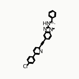 C[C@H](Nc1nc2cc(C#Cc3ccc(-c4ccc(Cl)cc4)cn3)ccc2n1C)c1ccccc1